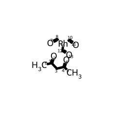 CC(=O)CC(C)=O.O=[CH][Rh]([CH]=O)[CH]=O